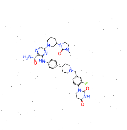 CN1CCN([C@@H]2CCCN(c3cnc(C(N)=O)c(Nc4ccc(C5CCN(Cc6ccc(N7CCC(=O)NC7=O)c(F)c6)CC5)cc4)n3)C2)C1=O